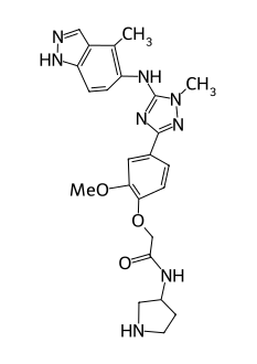 COc1cc(-c2nc(Nc3ccc4[nH]ncc4c3C)n(C)n2)ccc1OCC(=O)NC1CCNC1